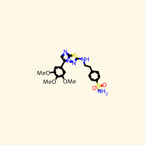 COc1cc(-c2cnc3sc(NCCc4ccc(S(N)(=O)=O)cc4)nn23)cc(OC)c1OC